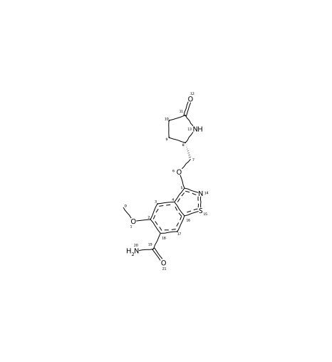 COc1cc2c(OC[C@@H]3CCC(=O)N3)nsc2cc1C(N)=O